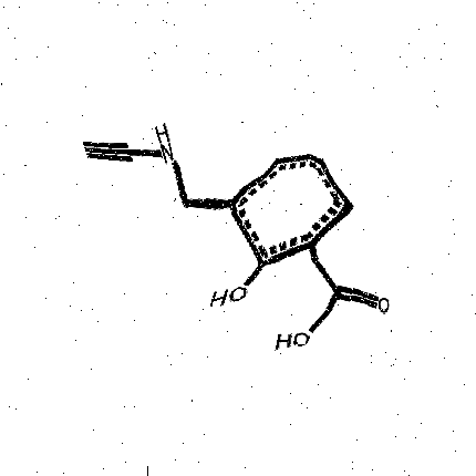 C#CNCc1cccc(C(=O)O)c1O